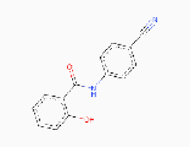 N#Cc1ccc(NC(=O)c2ccccc2O)cc1